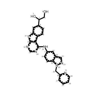 OCC(O)c1ccc2c(c1)sc1ncnc(Nc3ccc4c(cnn4Cc4ccccn4)c3)c12